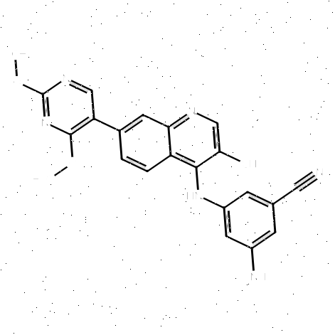 COc1ncc(-c2ccc3c(Nc4cc(N)cc(C#N)c4)c(C)cnc3c2)c(OC)n1